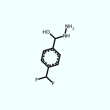 NNC(O)c1ccc(C(F)F)cc1